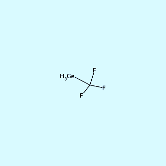 F[C](F)(F)[GeH3]